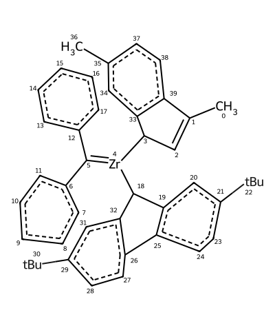 CC1=C[CH]([Zr](=[C](c2ccccc2)c2ccccc2)[CH]2c3cc(C(C)(C)C)ccc3-c3ccc(C(C)(C)C)cc32)c2cc(C)ccc21